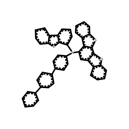 c1ccc(-c2ccc(-c3ccc(N(c4cccc5c4sc4ccccc45)c4cc5c6ccccc6oc5c5sc6ccccc6c45)cc3)cc2)cc1